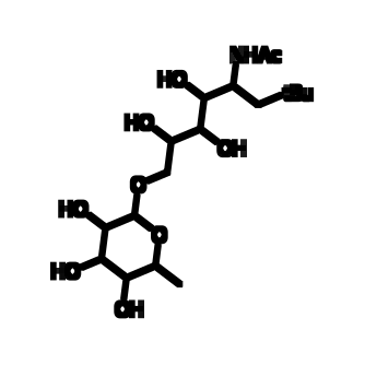 CC(=O)NC(CC(C)(C)C)C(O)C(O)C(O)COC1OC(C)C(O)C(O)C1O